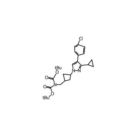 CC(C)(C)OC(=O)N(CC1CC(n2cc(-c3ccc(Cl)cc3)c(C3CC3)n2)C1)C(=O)OC(C)(C)C